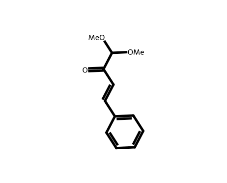 COC(OC)C(=O)C=Cc1ccccc1